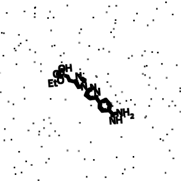 CCOP(=O)(O)CCc1cn(-c2ccc(-c3ccc(C(=N)N)cc3)nn2)cn1